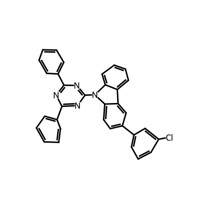 Clc1cccc(-c2ccc3c(c2)c2ccccc2n3-c2nc(-c3ccccc3)nc(-c3ccccc3)n2)c1